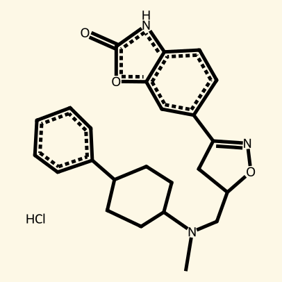 CN(CC1CC(c2ccc3[nH]c(=O)oc3c2)=NO1)C1CCC(c2ccccc2)CC1.Cl